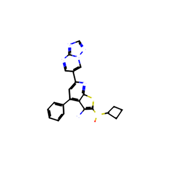 Nc1c([S+]([O-])C2CCC2)sc2nc(-c3cnc4ncnn4c3)cc(-c3ccccc3)c12